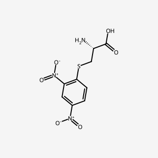 N[C@@H](CSc1ccc([N+](=O)[O-])cc1[N+](=O)[O-])C(=O)O